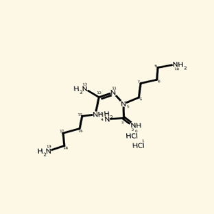 Cl.Cl.N=C(N)N(CCCCN)N=C(N)NCCCCN